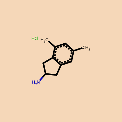 Cc1cc(C)c2c(c1)CC(N)C2.Cl